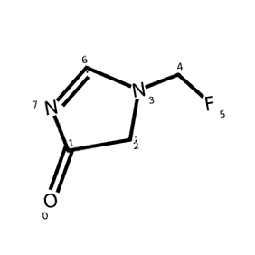 O=C1[C]N(CF)[C]=N1